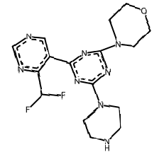 FC(F)c1ncncc1-c1nc(N2CCNCC2)nc(N2CCOCC2)n1